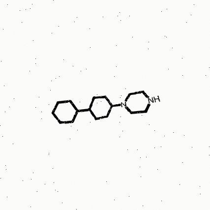 C1CCC(C2CCC(N3CCNCC3)CC2)CC1